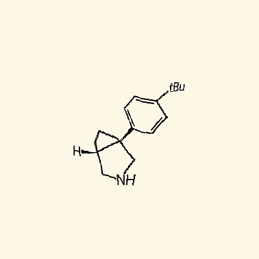 CC(C)(C)c1ccc([C@@]23CNC[C@@H]2C3)cc1